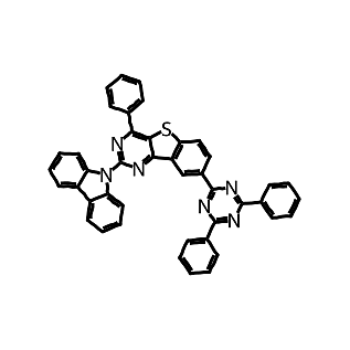 c1ccc(-c2nc(-c3ccccc3)nc(-c3ccc4sc5c(-c6ccccc6)nc(-n6c7ccccc7c7ccccc76)nc5c4c3)n2)cc1